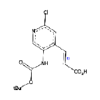 CC(C)(C)OC(=O)Nc1cnc(Cl)cc1/C=C/C(=O)O